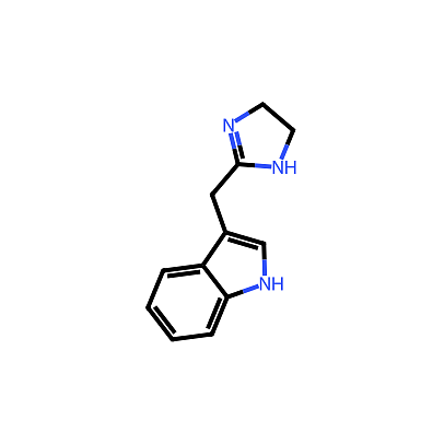 c1ccc2c(CC3=NCCN3)c[nH]c2c1